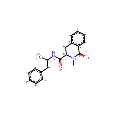 CN1C(=O)c2ccccc2CC1C(=O)NC(Cc1ccccc1)C(=O)O